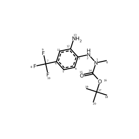 CN(Nc1ccc(C(F)(F)F)cc1N)C(=O)OC(C)(C)C